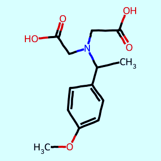 COc1ccc(C(C)N(CC(=O)O)CC(=O)O)cc1